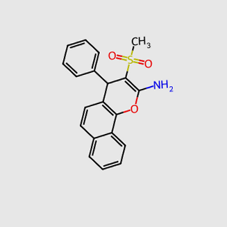 CS(=O)(=O)C1=C(N)Oc2c(ccc3ccccc23)C1c1ccccc1